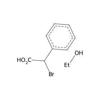 CCO.O=C(O)C(Br)c1ccccc1